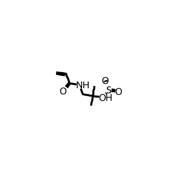 C=CC(=O)NCC(C)(C)O[SH](=O)=O